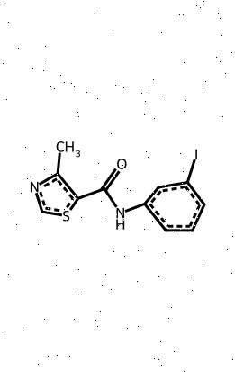 Cc1ncsc1C(=O)Nc1cccc(I)c1